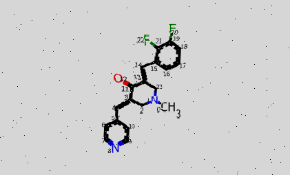 CN1C/C(=C\c2ccncc2)C(=O)/C(=C/c2cccc(F)c2F)C1